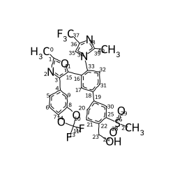 Cc1nc(-c2ccc3c(c2)OC(F)(F)O3)c(-c2cc(-c3ccc(CO)c(S(C)(=O)=O)c3)ccc2-n2cc(C(F)(F)F)nc2C)o1